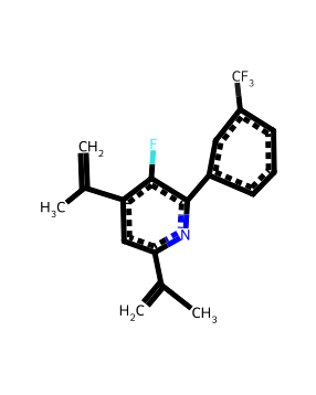 C=C(C)c1cc(C(=C)C)c(F)c(-c2cccc(C(F)(F)F)c2)n1